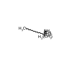 CCCCCCCCCCCCCCCCCC(CO[SiH3])(C(C)C)C(C)C